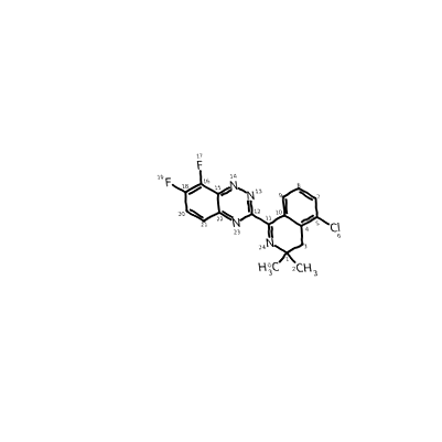 CC1(C)Cc2c(Cl)cccc2C(c2nnc3c(F)c(F)ccc3n2)=N1